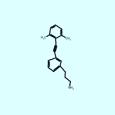 Cc1cccc(C)c1C#Cc1cccc(CCCN)c1